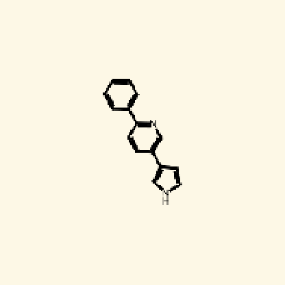 c1ccc(-c2ccc(-c3cc[nH]c3)cn2)cc1